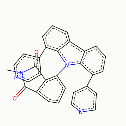 CN1C(=O)c2cccc(-n3c4c(-c5ccncc5)cccc4c4cccc(-c5ccncc5)c43)c2C1=O